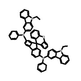 CCn1c2ccccc2c2cc(N(C3=CC=CCC3)c3ccc4c(c3)C3(c5ccccc5Oc5ccccc53)c3cc(N(c5ccccc5)c5ccc6c(c5)c5ccccc5n6CC)ccc3-4)ccc21